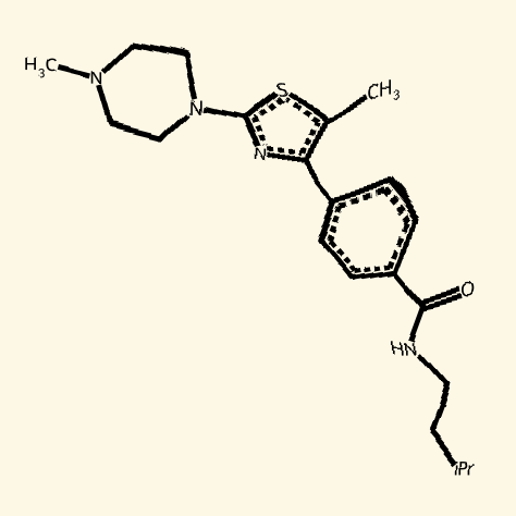 Cc1sc(N2CCN(C)CC2)nc1-c1ccc(C(=O)NCCC(C)C)cc1